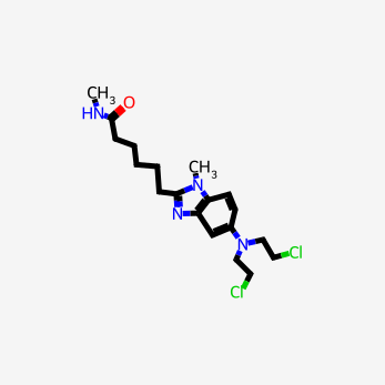 CNC(=O)CCCCCc1nc2cc(N(CCCl)CCCl)ccc2n1C